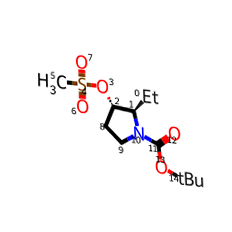 CC[C@@H]1[C@@H](OS(C)(=O)=O)CCN1C(=O)OC(C)(C)C